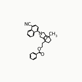 CC12CCC(CCOC(=O)c3ccccc3)(O1)C1CN(c3ccc(C#N)c4ccccc34)CC12